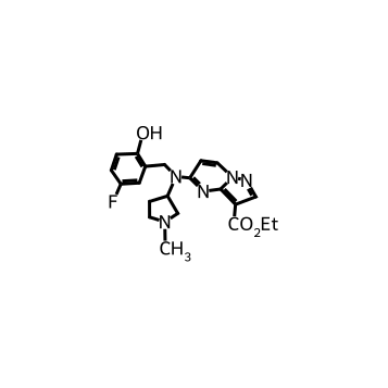 CCOC(=O)c1cnn2ccc(N(Cc3cc(F)ccc3O)C3CCN(C)C3)nc12